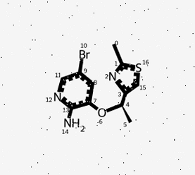 Cc1nc([C@@H](C)Oc2cc(Br)cnc2N)cs1